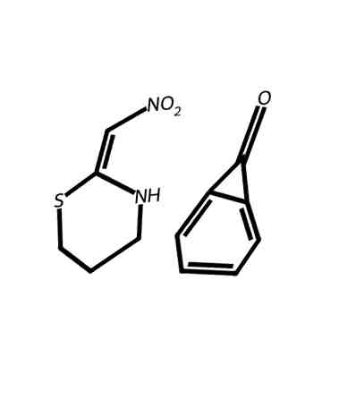 O=[N+]([O-])C=C1NCCCS1.O=c1c2ccccc12